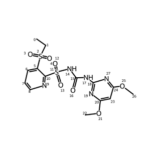 CCS(=O)(=O)c1cccnc1S(=O)(=O)NC(=O)Nc1nc(OC)cc(OC)n1